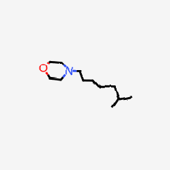 CC(C)CCCCCN1CCOCC1